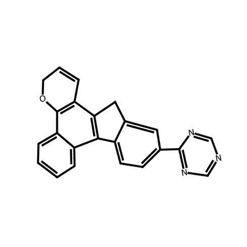 C1=Cc2c3c(c4ccccc4c2OC1)-c1ccc(-c2ncncn2)cc1C3